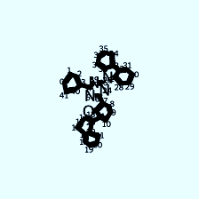 c1ccc(-c2nc(-c3cccc4c3oc3ccc5ccccc5c34)nc(-n3c4ccccc4c4ccccc43)n2)cc1